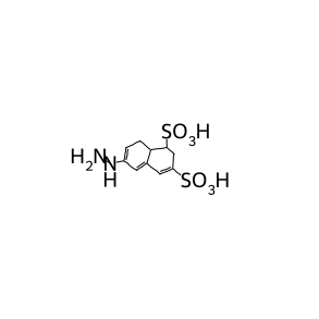 NNC1=CCC2C(=C1)C=C(S(=O)(=O)O)CC2S(=O)(=O)O